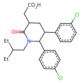 CCC(CC)CN1C(=O)C(CC(=O)O)CC(c2cccc(Cl)c2)C1c1ccc(Cl)cc1